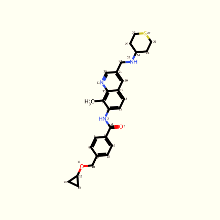 Cc1c(NC(=O)c2ccc(COC3CC3)cc2)ccc2cc(CNC3CCSCC3)cnc12